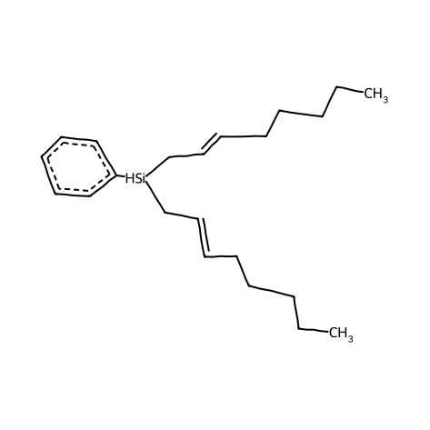 CCCCCC=CC[SiH](CC=CCCCCC)c1ccccc1